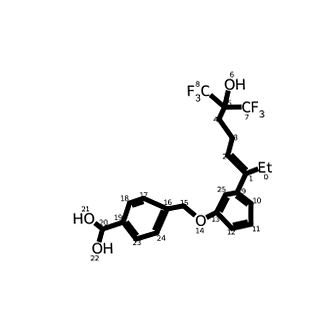 CCC(=CCCC(O)(C(F)(F)F)C(F)(F)F)c1cccc(OCc2ccc(C(O)O)cc2)c1